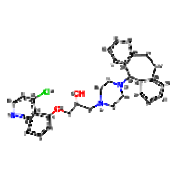 OC(COc1cccc2nccc(Cl)c12)CN1CCN(C2c3ccccc3CCc3ccccc32)CC1